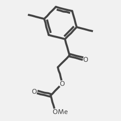 COC(=O)OCC(=O)c1cc(C)ccc1C